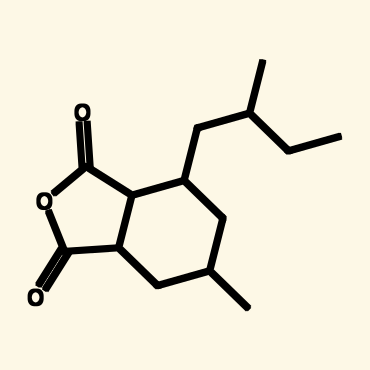 CCC(C)CC1CC(C)CC2C(=O)OC(=O)C12